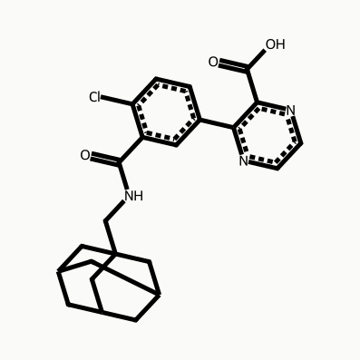 O=C(NCC12CC3CC(CC(C3)C1)C2)c1cc(-c2nccnc2C(=O)O)ccc1Cl